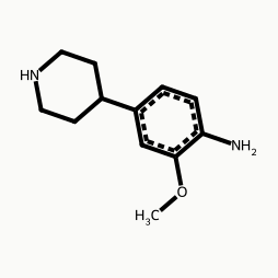 COc1cc(C2CCNCC2)ccc1N